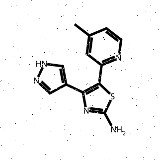 Cc1ccnc(-c2sc(N)nc2-c2cn[nH]c2)c1